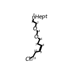 CCCCCCCCCOCOCC/C=C\CCCl